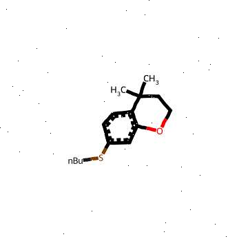 CCCCSc1ccc2c(c1)OCCC2(C)C